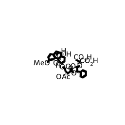 COc1ccc2c3c1O[C@@H]1C(OC(=O)C[C@H](OC(C)=O)C(=O)O[C@H](C(=O)O[C@@H](CC(=O)O)C(=O)O)c4ccccc4)=CC[C@]4(O)[C@@H](CCC[C@@]314)C2